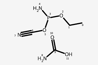 CCOP(N)OC#N.NC(=O)O